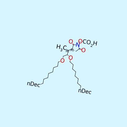 CCCCCCCCCCCCCCCCCCOCC(OCCCCCCCCCCCCCCCCCC)[C@H](C)[C@H]1CC(=O)N(OC(=O)O)C1=O